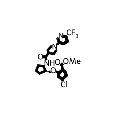 COC(=O)c1ccc(Cl)cc1OC[C@@H]1CCC[C@@H]1NC(=O)C1CCN(c2ccc(C(F)(F)F)nc2)CC1